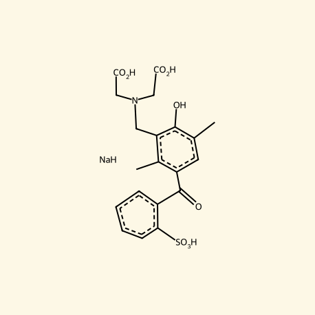 Cc1cc(C(=O)c2ccccc2S(=O)(=O)O)c(C)c(CN(CC(=O)O)CC(=O)O)c1O.[NaH]